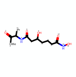 COC(=O)C(NC(=O)CC(O)CCCC(=O)NO)C(C)C